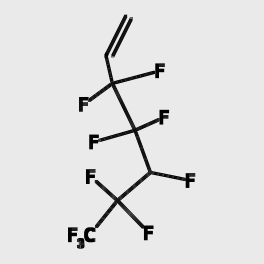 C=CC(F)(F)C(F)(F)C(F)C(F)(F)C(F)(F)F